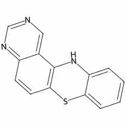 c1ccc2c(c1)Nc1c(ccc3ncncc13)S2